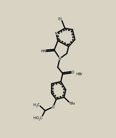 Br.CCc1ccc2c(n1)C(=N)N(CC(=O)c1ccc(OC(C)C(=O)O)c(C(C)(C)C)c1)C2